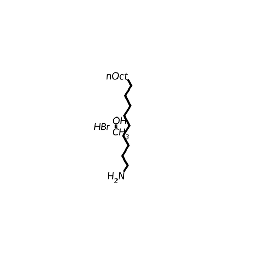 Br.CCCCCCCCCCCCCCCCCN.CO